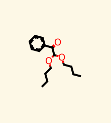 CCCCOC(OCCCC)C(=O)c1ccccc1